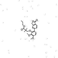 CCCOC(=O)C(C)(C)COc1c(-c2ccc3c(c2)COC3=O)ccc(OC)c1OC